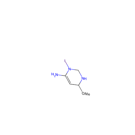 COC1C=C(N)N(I)CN1